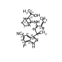 C=C(/N=C(NC1C2CCC(CC2)C1C(=C)O)\C(F)=C/C)c1n[nH]c2c(F)cc(C#N)cc12